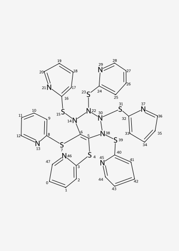 c1ccc(Sc2c(Sc3ccccn3)n(Sc3ccccn3)n(Sc3ccccn3)n(Sc3ccccn3)n2Sc2ccccn2)nc1